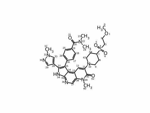 COCCS(=O)(=O)C1CCN(c2cc3c4c(-c5ccc(C(=O)N(C)C)cc5)c(-c5cnn(C)c5)[nH]c4ncc3n(C)c2=O)CC1